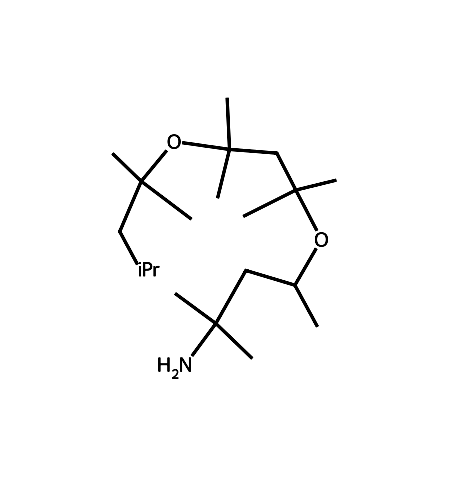 CC(C)CC(C)(C)OC(C)(C)CC(C)(C)OC(C)CC(C)(C)N